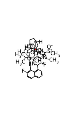 CCCCOC(=O)N1[C@@H]2CC[C@H]1[C@H]1CCOC3=NC(c4cccc5ccc(F)c(C#C[Si](C(C)C)(C(C)C)C(C)C)c45)C(F)c4nc([S+](C)[O-])nc(c43)N1C2